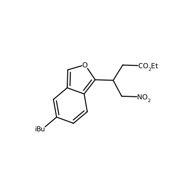 CCOC(=O)CC(C[N+](=O)[O-])c1occ2cc(C(C)CC)ccc12